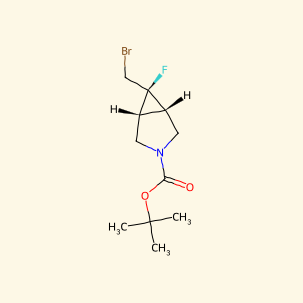 CC(C)(C)OC(=O)N1C[C@@H]2[C@H](C1)[C@]2(F)CBr